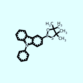 CC1(C)OB(c2ccc3c(c2)c2ccccc2n3-c2ccccc2)SC1(C)C